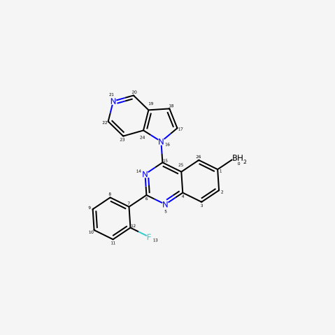 Bc1ccc2nc(-c3ccccc3F)nc(-n3ccc4cnccc43)c2c1